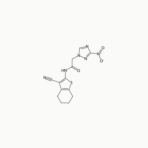 N#Cc1c(NC(=O)Cn2cnc([N+](=O)[O-])n2)sc2c1CCCC2